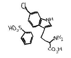 NC(Cc1c[nH]c2cc(Cl)ccc12)C(=O)O.O=S(=O)(O)c1ccccc1